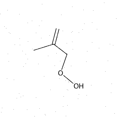 C=C(C)COO